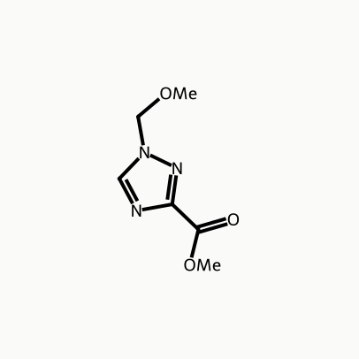 COCn1cnc(C(=O)OC)n1